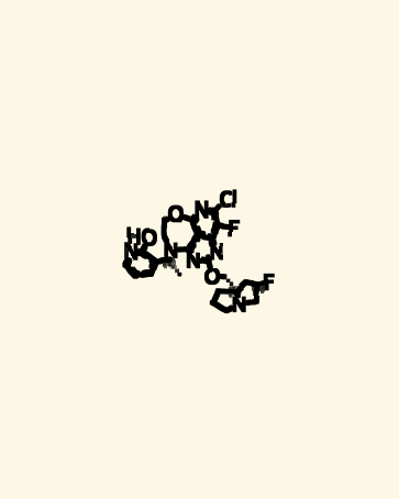 C[C@H](c1cccnc1O)N1CCOc2nc(Cl)c(F)c3nc(OC[C@@]45CCCN4C[C@H](F)C5)nc1c23